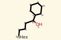 CCCCCCCCCC(O)C1CCCCC1